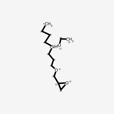 CCCC[SiH](CCCOCC1CO1)OCC